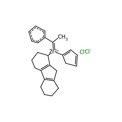 C/[C](c1ccccc1)=[Zr+2](\[C]1=CC=CC1)[CH]1CCCC2=C1CC1=C2CCCC1.[Cl-].[Cl-]